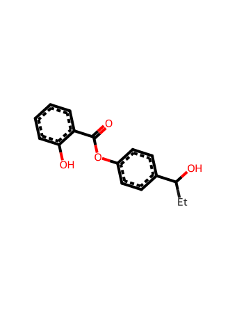 CCC(O)c1ccc(OC(=O)c2ccccc2O)cc1